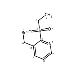 CCS(=O)(=O)c1ncccc1CBr